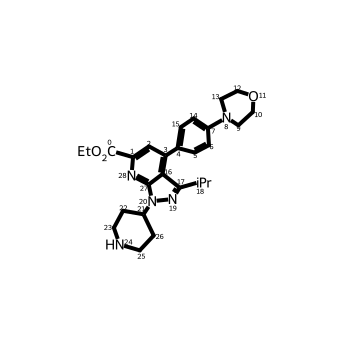 CCOC(=O)c1cc(-c2ccc(N3CCOCC3)cc2)c2c(C(C)C)nn(C3CCNCC3)c2n1